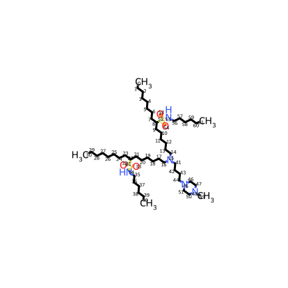 CCCCCCCCC(CCCCCCN(CCCCCCC(CCCCCCCC)S(=O)(=O)NCCCCCC)CCCCN1CCN(C)CC1)S(=O)(=O)NCCCCCC